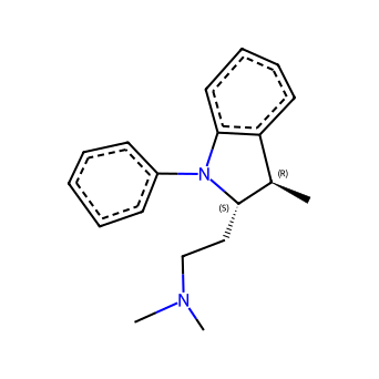 C[C@@H]1c2ccccc2N(c2ccccc2)[C@H]1CCN(C)C